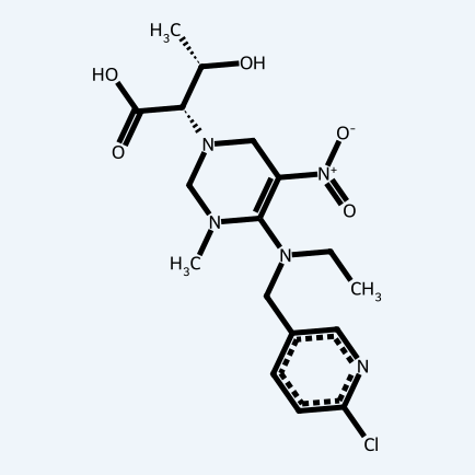 CCN(Cc1ccc(Cl)nc1)C1=C([N+](=O)[O-])CN([C@H](C(=O)O)[C@H](C)O)CN1C